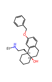 CCNCC[C@]12CCCC[C@@]1(O)CCc1ccc(OCc3ccccc3)cc12